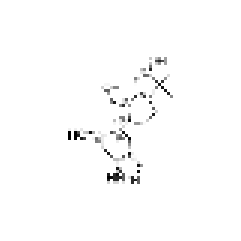 CC1(C)C2=C(C[C@H]1O)[C@H](CO)[C@@H]([C@@]1(C)Cc3cn[nH]c3C[C@@H]1CO)CC2